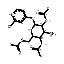 CC(=O)OCC1OC(Sc2ccnc(Cl)c2)C(OC(C)=O)C(N)C1OC(C)=O